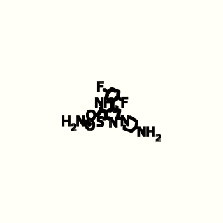 NC(=O)Oc1sc2nc(N3CCC(N)CC3)cc(-c3cc(F)ccc3F)c2c1N